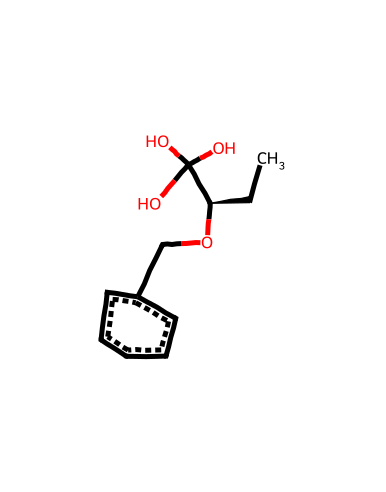 CC[C@@H](OCc1ccccc1)C(O)(O)O